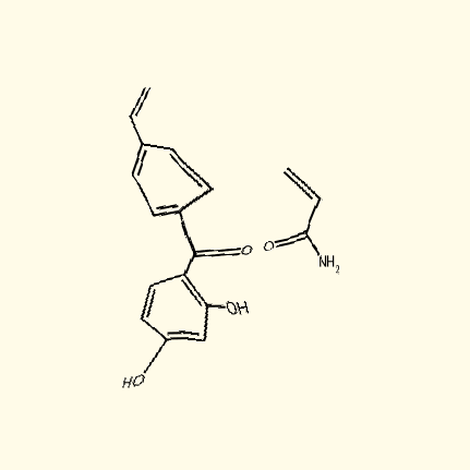 C=CC(N)=O.C=Cc1ccc(C(=O)c2ccc(O)cc2O)cc1